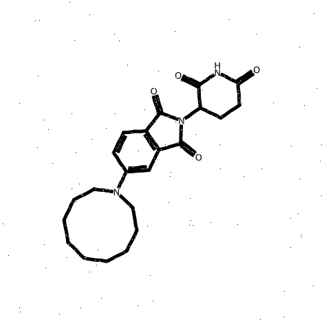 O=C1CCC(N2C(=O)c3ccc(N4CCCCCCCCC4)cc3C2=O)C(=O)N1